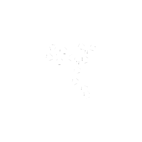 c1ccc(C2(c3ccccc3)c3ccccc3-c3c(-c4ccc(N(c5ccc(-c6cccc(-c7ccc8ccccc8c7)c6)cc5)c5cccc(-n6c7ccccc7c7ccccc76)c5)cc4)cccc32)cc1